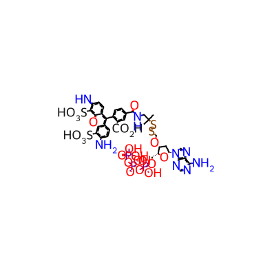 CC(C)(CNC(=O)c1ccc(-c2c3ccc(=N)c(S(=O)(=O)O)c-3oc3c(S(=O)(=O)O)c(N)ccc23)c(C(=O)O)c1)SSCOC1C[C@H](n2cnc3c(N)ncnc32)O[C@@H]1COP(=O)(O)OP(=O)(O)OP(=O)(O)O